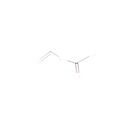 O=[C][Co][C](=O)[Co]